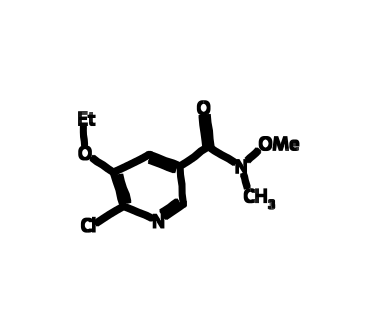 CCOc1cc(C(=O)N(C)OC)cnc1Cl